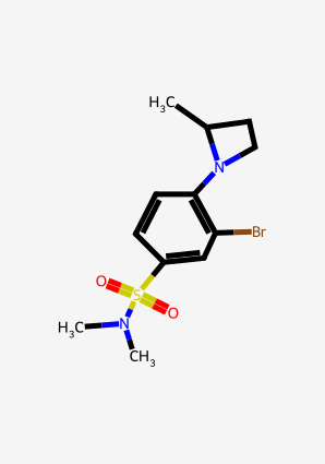 CC1CCN1c1ccc(S(=O)(=O)N(C)C)cc1Br